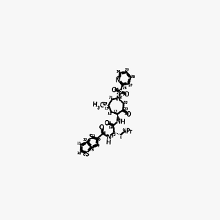 CC(C)C[C@H](NC(=O)c1cc2sccc2s1)C(=O)N[C@H]1C[C@H](C)CN(S(=O)(=O)c2ccccn2)CC1=O